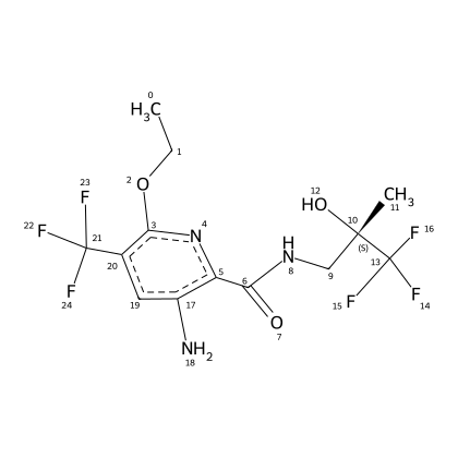 CCOc1nc(C(=O)NC[C@](C)(O)C(F)(F)F)c(N)cc1C(F)(F)F